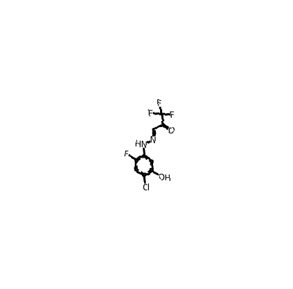 O=C(/C=N/Nc1cc(O)c(Cl)cc1F)C(F)(F)F